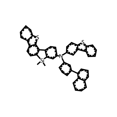 C[Si]1(C)c2cc(N(c3cccc(-c4cccc5ccccc45)c3)c3ccc4sc5ccccc5c4c3)ccc2-c2c1ccc1c2sc2ccccc21